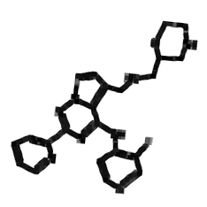 Fc1cnccc1Nc1nc(-c2ccccn2)nn2ccc(CNCC3CNCCO3)c12